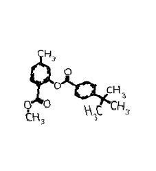 COC(=O)c1ccc(C)cc1OC(=O)c1ccc(C(C)(C)C)cc1